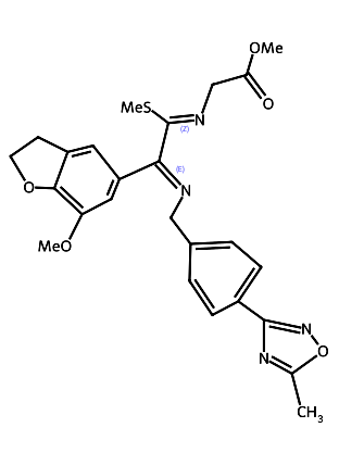 COC(=O)C/N=C(SC)/C(=N/Cc1ccc(-c2noc(C)n2)cc1)c1cc2c(c(OC)c1)OCC2